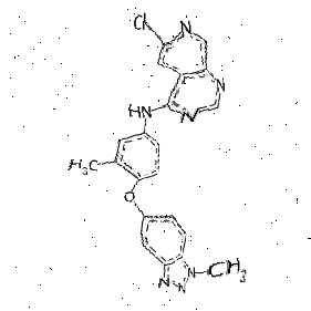 Cc1cc(Nc2ncnc3cnc(Cl)cc23)ccc1Oc1ccc2c(c1)nnn2C